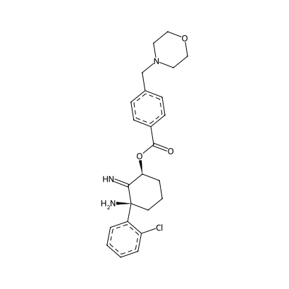 N=C1[C@@H](OC(=O)c2ccc(CN3CCOCC3)cc2)CCC[C@]1(N)c1ccccc1Cl